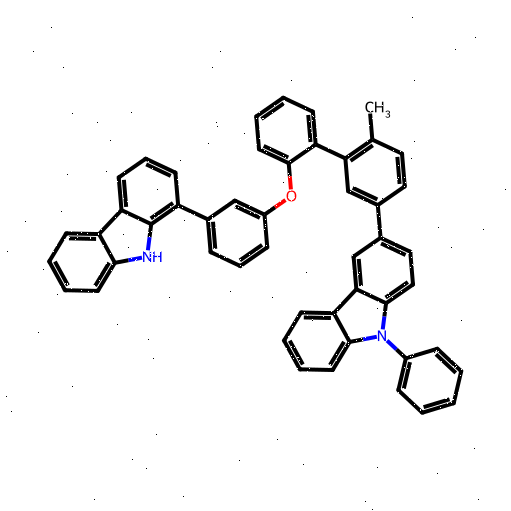 Cc1ccc(-c2ccc3c(c2)c2ccccc2n3-c2ccccc2)cc1-c1ccccc1Oc1cccc(-c2cccc3c2[nH]c2ccccc23)c1